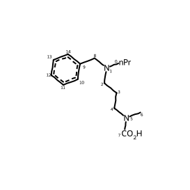 CCCN(CCCN(C)C(=O)O)Cc1ccccc1